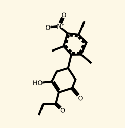 CCC(=O)C1=C(O)CC(c2c(C)cc(C)c([N+](=O)[O-])c2C)CC1=O